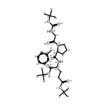 CC(C)(C)OC(=O)CC[C@H](NC(=O)[C@]1(Cc2ccccc2)CCCN1C(=O)CNC(=O)OC(C)(C)C)C(=O)OC(C)(C)C